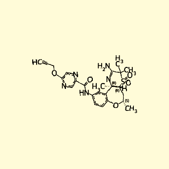 C#CCOc1cnc(C(=O)Nc2ccc3c(c2)[C@@]2(C)N=C(N)C(C)(C)S(=O)(=O)[C@@H]2C[C@H](C)O3)cn1